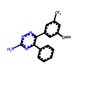 COc1cc(-c2nnc(N)nc2-c2ccccc2)cc(C(F)(F)F)c1